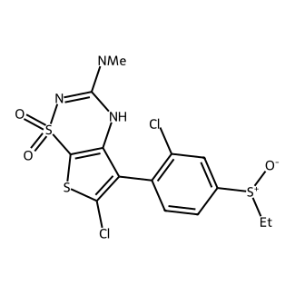 CC[S+]([O-])c1ccc(-c2c(Cl)sc3c2NC(NC)=NS3(=O)=O)c(Cl)c1